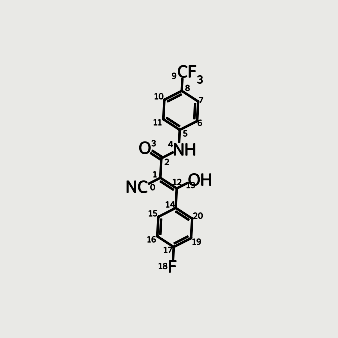 N#CC(C(=O)Nc1ccc(C(F)(F)F)cc1)=C(O)c1ccc(F)cc1